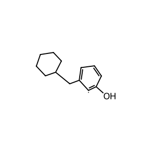 Oc1[c]c(CC2CCCCC2)ccc1